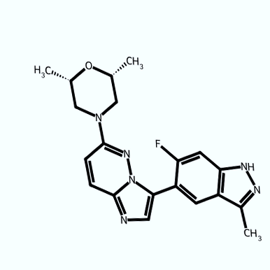 Cc1n[nH]c2cc(F)c(-c3cnc4ccc(N5C[C@@H](C)O[C@@H](C)C5)nn34)cc12